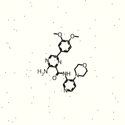 COc1ccc(-c2cnc(N)c(C(=O)Nc3cnccc3N3CCOCC3)n2)cc1OC